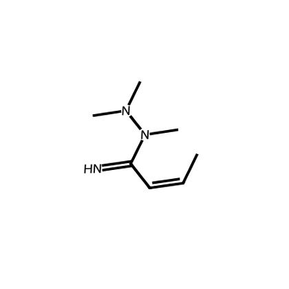 C/C=C\C(=N)N(C)N(C)C